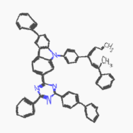 C=C/C=C(\C=C(/C)c1ccccc1)c1ccc(-n2c3ccc(-c4ccccc4)cc3c3ccc(-c4nc(-c5ccccc5)nc(-c5ccc(-c6ccccc6)cc5)n4)cc32)cc1